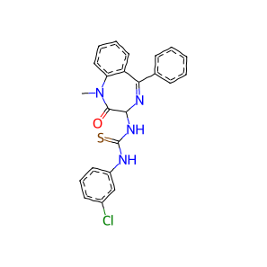 CN1C(=O)C(NC(=S)Nc2cccc(Cl)c2)N=C(c2ccccc2)c2ccccc21